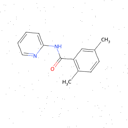 Cc1ccc(C)c(C(=O)Nc2ccccn2)c1